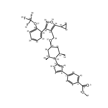 COC(=O)c1ccc(-c2csc(N3[C@H](C)C[C@H](OCc4c(-c5ccccc5OC(F)(F)F)noc4C4CC4)C[C@@H]3C)n2)cc1